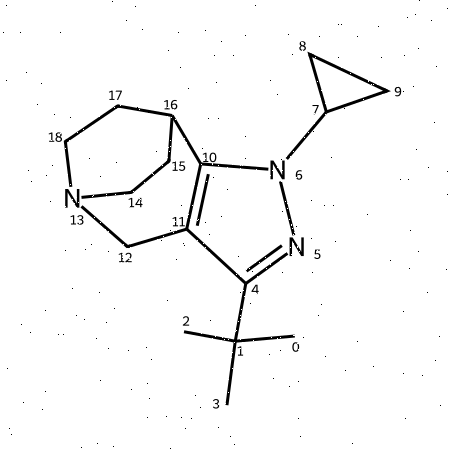 CC(C)(C)c1nn(C2CC2)c2c1CN1CCC2CC1